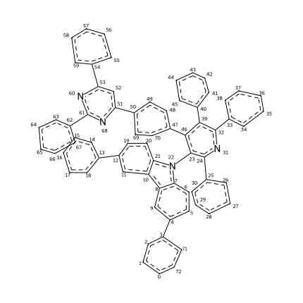 c1ccc(-c2ccc3c(c2)c2cc(-c4ccccc4)ccc2n3-c2c(-c3ccccc3)nc(-c3ccccc3)c(-c3ccccc3)c2-c2ccc(-c3cc(-c4ccccc4)nc(-c4ccccc4)n3)cc2)cc1